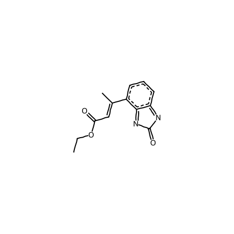 CCOC(=O)C=C(C)c1cccc2c1=NC(=O)N=2